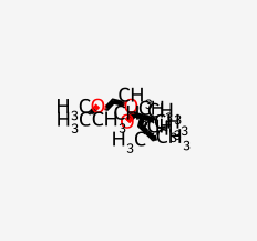 CCC(C)(C)CC(C)(C(=O)OC(C)(C)CCOC(C)(C)C)C(C)(C)C